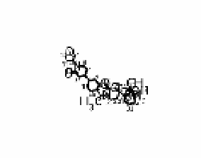 C[C@@H](c1ccc(-c2ccn([C@H]3CCOC3)c(=O)c2)cc1)N1CC[C@](CC(C)(C)O)(c2ccccc2)OC1=O